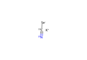 [15N]#[13C][Se-].[K+]